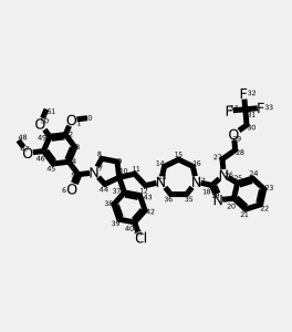 COc1cc(C(=O)N2CCC(CCN3CCCN(c4nc5ccccc5n4CCOCC(F)(F)F)CC3)(c3ccc(Cl)cc3)C2)cc(OC)c1OC